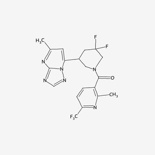 Cc1cc(C2CN(C(=O)c3ccc(C(F)(F)F)nc3C)CC(F)(F)C2)n2ncnc2n1